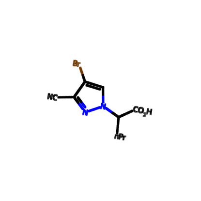 CCCC(C(=O)O)n1cc(Br)c(C#N)n1